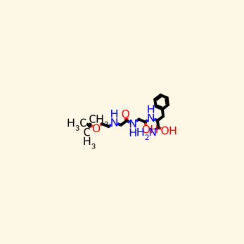 CC(C)(C)OCCNCC(=O)NCC(O)NC(Cc1ccccc1)C(N)O